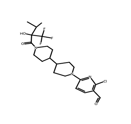 CC(C)C(O)(C(=O)N1CCC(C2CCN(c3ccc(C=O)c(Cl)n3)CC2)CC1)C(F)(F)F